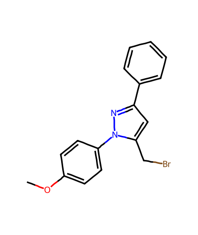 COc1ccc(-n2nc(-c3ccccc3)cc2CBr)cc1